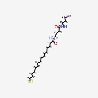 O=C(CCCCCCCCCCCCCCCS)NCCCC(=O)NCCCI